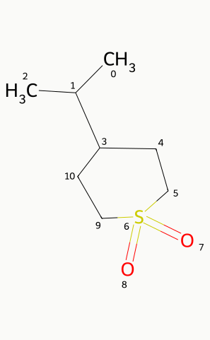 CC(C)C1CCS(=O)(=O)CC1